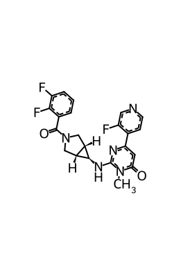 Cn1c(N[C@H]2[C@@H]3CN(C(=O)c4cccc(F)c4F)C[C@@H]32)nc(-c2ccncc2F)cc1=O